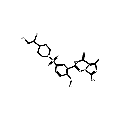 CCCc1nc(C)c2c(=O)[nH]c(-c3cc(S(=O)(=O)N4CCC(C(CC)CO)CC4)ccc3OCC)nn12